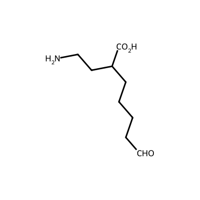 NCCC(CCCCC=O)C(=O)O